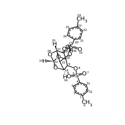 Cc1ccc(S(=O)(=O)OC2C3O[C@@H]4O[C@H]2C(OS(=O)(=O)c2ccc(C)cc2)[C@H](O4)[C@H]3O)cc1